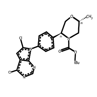 C[C@@H]1CN(C(=O)OC(C)(C)C)[C@@H](c2ccc(-n3c(Cl)cc4c(Cl)ncnc43)cc2)CO1